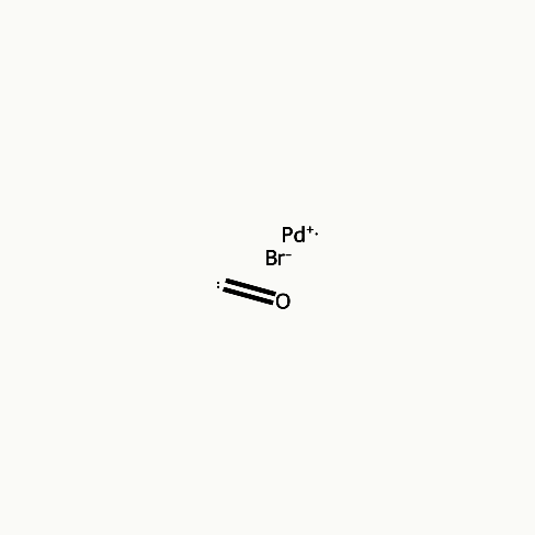 [Br-].[C]=O.[Pd+]